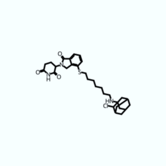 O=C1CCC(N2Cc3c(SCCCCCCCNC45CC6CC(CC(C6)C4Cl)C5)cccc3C2=O)C(=O)N1